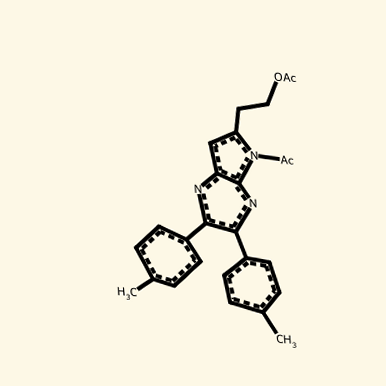 CC(=O)OCCc1cc2nc(-c3ccc(C)cc3)c(-c3ccc(C)cc3)nc2n1C(C)=O